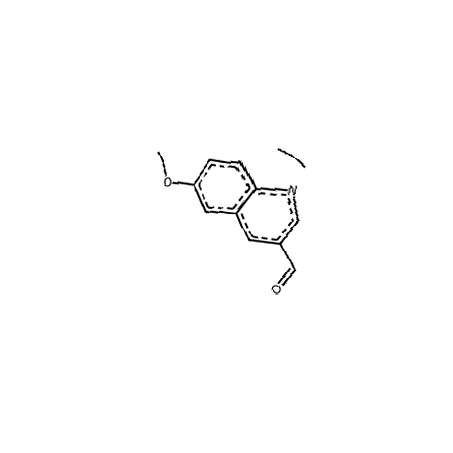 CC.COc1ccc2ncc(C=O)cc2c1